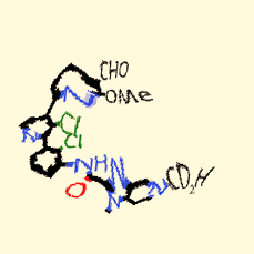 COc1nc(-c2ccnc(-c3cccc(NC(=O)c4nc5c(n4C)CCN(C(=O)O)C5)c3Cl)c2Cl)ccc1C=O